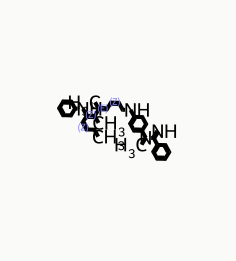 CC\C=C/C(NC1C=CC=CC1)=C(C)/C(C)=C/C=C\CNC1=CC=C(N(C)C(=N)c2ccccc2)CC1